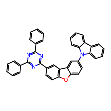 c1ccc(-c2nc(-c3ccccc3)nc(-c3ccc4oc5ccc(-n6c7ccccc7c7ccccc76)cc5c4c3)n2)cc1